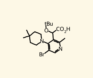 Cc1ncc(Br)c(N2CCC(C)(C)CC2)c1C(OC(C)(C)C)C(=O)O